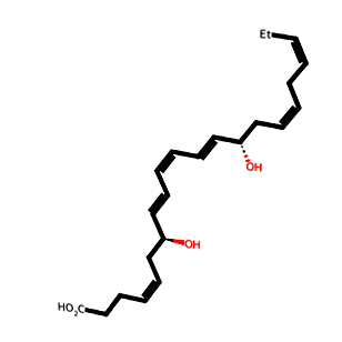 CC/C=C\C/C=C\C[C@H](O)/C=C/C=C\C=C[C@@H](O)C/C=C\CCC(=O)O